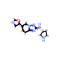 c1ncc(-c2ccc3nc(N[C@@H]4CCNC4)nn3c2)o1